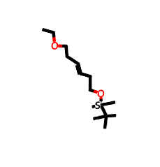 CCOCCC=CCCO[Si](C)(C)C(C)(C)C